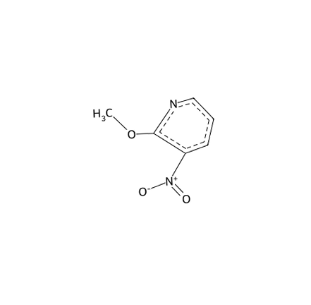 COc1ncccc1[N+](=O)[O-]